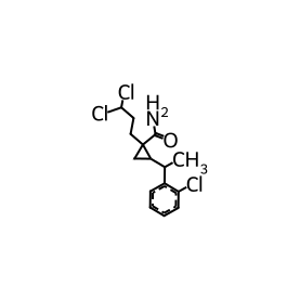 CC(c1ccccc1Cl)C1CC1(CCC(Cl)Cl)C(N)=O